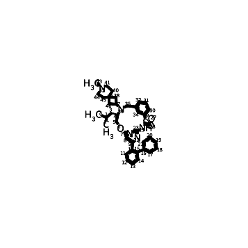 CC(C)C[C@@H]1COc2cc(-c3ccccc3-c3ccccc3)nc(n2)NS(=O)(=O)c2cccc(c2)CN1C1CC2(CCN(C)CC2)C1